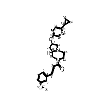 O=C(/C=C/c1cccc(C(F)(F)F)c1)N1CCN2C[C@H](Oc3cnc(C4CC4)cn3)C[C@H]2C1